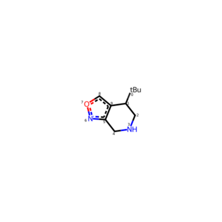 CC(C)(C)C1CNCc2nocc21